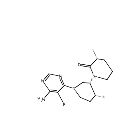 C[C@@H]1CCCN([C@H]2CN(c3ncnc(N)c3F)CC[C@H]2F)C1=O